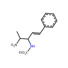 CCOC(=O)NC(/C=C/c1ccccc1)C(C)[N+](=O)[O-]